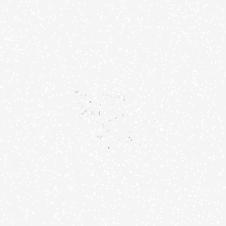 COCCCCOc1ccccc1C(=O)NC[C@@H](C[C@H](N)[C@@H](O)CNC(=O)C(C)(C)[C@H]1CCCCN1)C(C)C.Cl.Cl